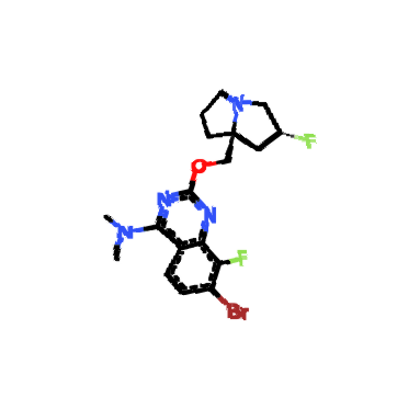 CN(C)c1nc(OC[C@@]23CCCN2C[C@H](F)C3)nc2c(F)c(Br)ccc12